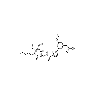 CCCCCC(C(=O)NCNC(=O)c1ccc(-c2cc(CC(=O)O)cc(OCC)c2)o1)[C@@H](CC)N(O)C=O